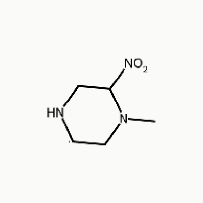 CN1C[CH]NCC1[N+](=O)[O-]